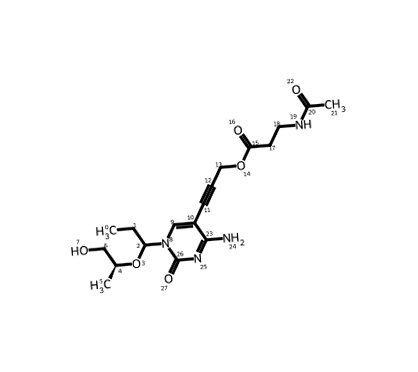 CCC(O[C@@H](C)CO)n1cc(C#CCOC(=O)CCNC(C)=O)c(N)nc1=O